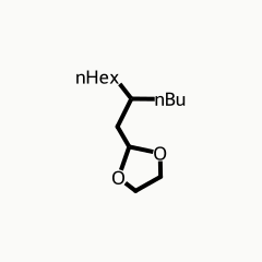 CCCCCCC(CCCC)CC1OCCO1